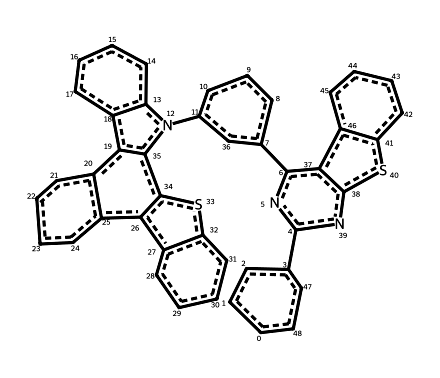 c1ccc(-c2nc(-c3cccc(-n4c5ccccc5c5c6ccccc6c6c7ccccc7sc6c54)c3)c3c(n2)sc2ccccc23)cc1